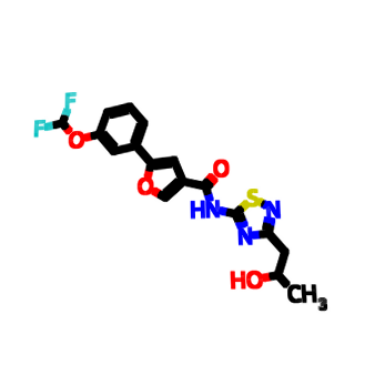 CC(O)Cc1nsc(NC(=O)c2coc(-c3cccc(OC(F)F)c3)c2)n1